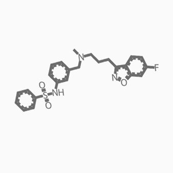 CN(CCCc1noc2cc(F)ccc12)Cc1cccc(NS(=O)(=O)c2ccccc2)c1